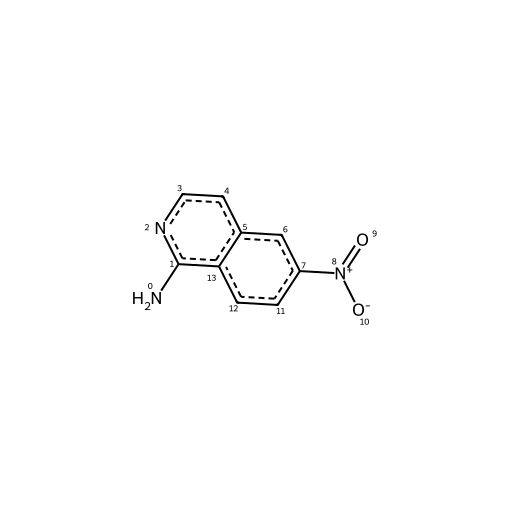 Nc1nccc2cc([N+](=O)[O-])ccc12